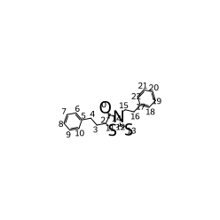 O=C1C(CCc2ccccc2)SC(=S)N1CCc1ccccc1